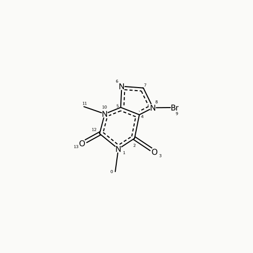 Cn1c(=O)c2c(ncn2Br)n(C)c1=O